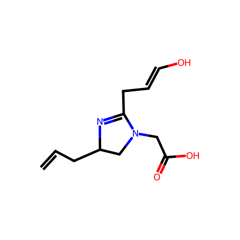 C=CCC1CN(CC(=O)O)C(CC=CO)=N1